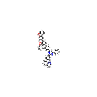 c1ccc(-c2cc(-c3ccc(-c4ccc(-c5ccc6oc7ccccc7c6c5)c5oc6ccccc6c45)cc3)nc(-c3ccc(-c4cccc5cccnc45)cc3)n2)cc1